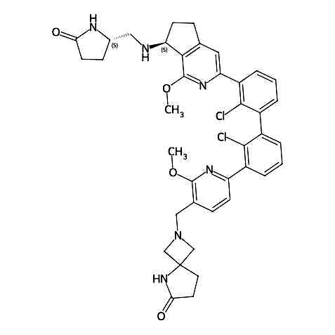 COc1nc(-c2cccc(-c3cccc(-c4cc5c(c(OC)n4)[C@@H](NC[C@@H]4CCC(=O)N4)CC5)c3Cl)c2Cl)ccc1CN1CC2(CCC(=O)N2)C1